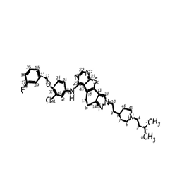 CC(C)CCN1CCC(CCn2cc3c(n2)CCc2c-3sc3ncnc(Nc4ccc(OCc5cccc(F)c5)c(Cl)c4)c23)CC1